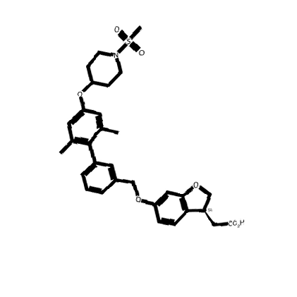 Cc1cc(OC2CCN(S(C)(=O)=O)CC2)cc(C)c1-c1cccc(COc2ccc3c(c2)OC[C@H]3CC(=O)O)c1